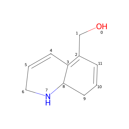 OCC1=C2C=CCNC2CC=C1